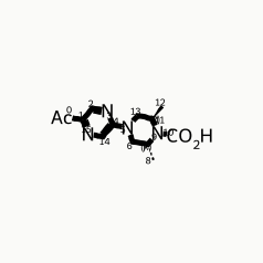 CC(=O)c1cnc(N2C[C@@H](C)N(C(=O)O)[C@H](C)C2)cn1